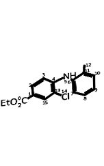 CCOC(=O)c1ccc(Nc2ccccc2C)c(Cl)c1